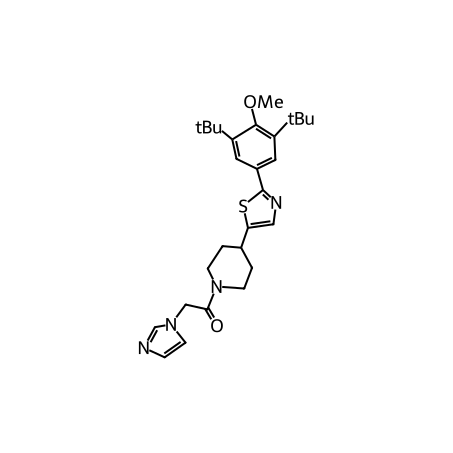 COc1c(C(C)(C)C)cc(-c2ncc(C3CCN(C(=O)Cn4ccnc4)CC3)s2)cc1C(C)(C)C